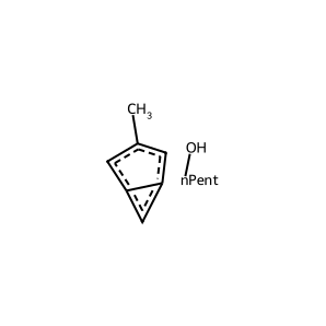 CCCCCO.Cc1cc2cc-2c1